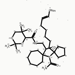 CCCCCCCCC/C=C/CCCCCC1(N(C(N)=O)C2(C(CNC(=O)C3OC(C)(C)OCC3(C)C)C(=O)O)CCCCCC2)CCCC1